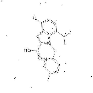 COc1ccc(C(C)C)c2c1cc(C(=O)O)n2Cc1ccc(C)cn1